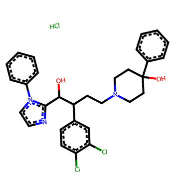 Cl.OC(c1nccn1-c1ccccc1)C(CCN1CCC(O)(c2ccccc2)CC1)c1ccc(Cl)c(Cl)c1